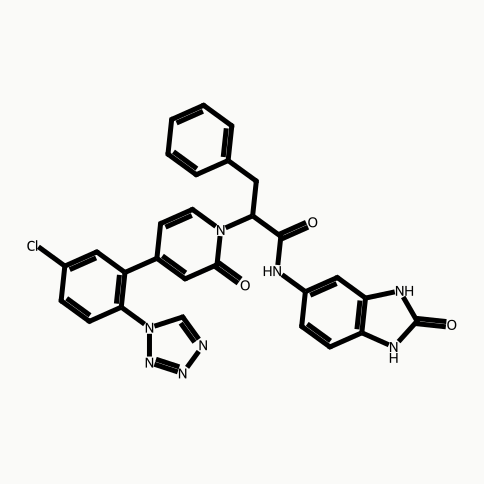 O=C(Nc1ccc2[nH]c(=O)[nH]c2c1)C(Cc1ccccc1)n1ccc(-c2cc(Cl)ccc2-n2cnnn2)cc1=O